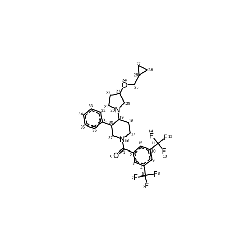 O=C(c1cc(C(F)(F)F)cc(C(F)(F)F)c1)N1CCC(N2CCC(OCC3CC3)C2)C(c2ccccc2)C1